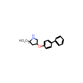 O=C(O)[C@@H]1CC(Oc2ccc(-c3ccccc3)cc2)CN1